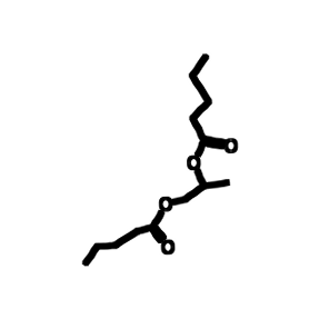 CCCCC(=O)OCC(C)OC(=O)CCCC